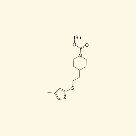 Cc1csc(SCCC2CCN(C(=O)OC(C)(C)C)CC2)c1